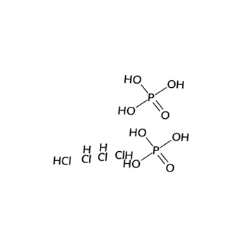 Cl.Cl.Cl.Cl.O=P(O)(O)O.O=P(O)(O)O